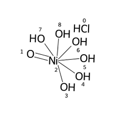 Cl.[O]=[Ni]([OH])([OH])([OH])([OH])([OH])[OH]